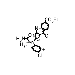 CCOC(=O)c1ccc(C(=O)c2sc(N(c3ccc(Cl)c(F)c3)[C@H](C)C(N)=O)nc2N)cc1